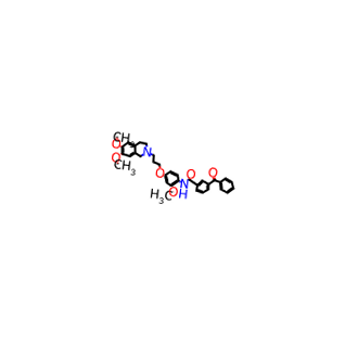 COc1cc(OCCCN2CCc3cc(OC)c(OC)cc3C2)ccc1NC(=O)c1cccc(C(=O)c2ccccc2)c1